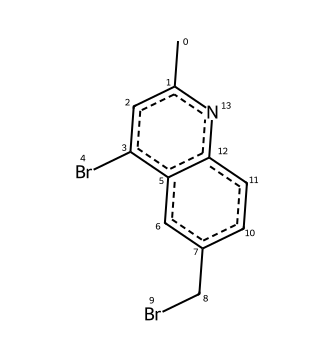 Cc1cc(Br)c2cc(CBr)ccc2n1